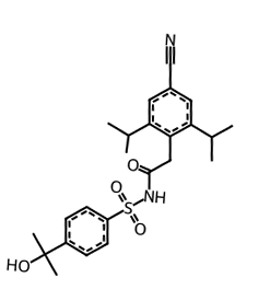 CC(C)c1cc(C#N)cc(C(C)C)c1CC(=O)NS(=O)(=O)c1ccc(C(C)(C)O)cc1